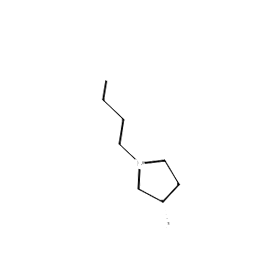 [O][C@H]1CCN(CCCF)C1